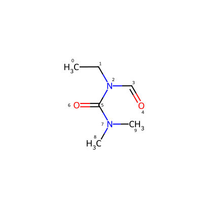 CCN(C=O)C(=O)N(C)C